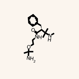 CNC(C)(C)[C@@H](Cc1ccccc1)C(=O)NCCOC(C)(C)N